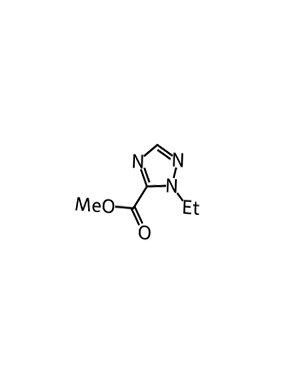 CCn1ncnc1C(=O)OC